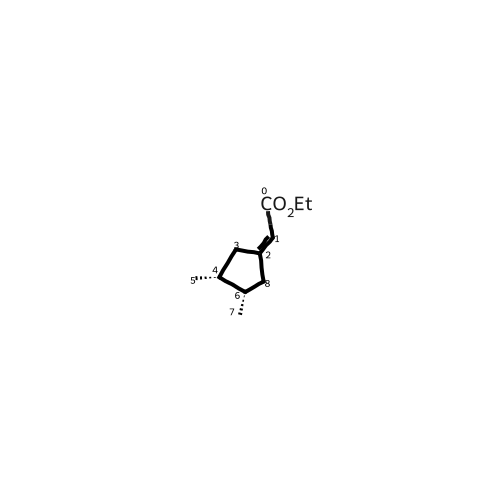 CCOC(=O)/C=C1\C[C@@H](C)[C@@H](C)C1